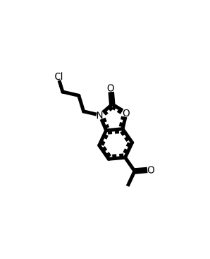 CC(=O)c1ccc2c(c1)oc(=O)n2CCCCl